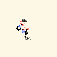 C=C[C@H]1C[C@@]12N=C([C@@H]1CCCN1C(=O)OC(C)(C)C)OC2=O